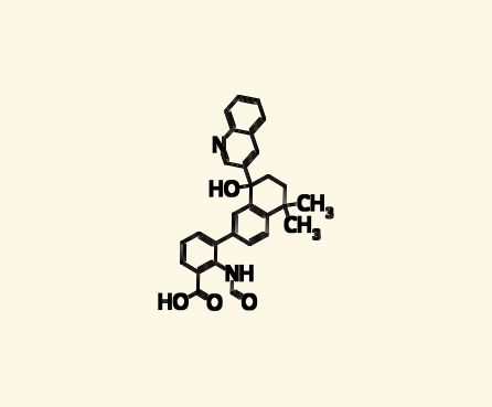 CC1(C)CCC(O)(c2cnc3ccccc3c2)c2cc(-c3cccc(C(=O)O)c3NC=O)ccc21